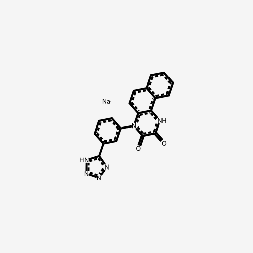 O=c1[nH]c2c3ccccc3ccc2n(-c2cccc(-c3nnn[nH]3)c2)c1=O.[Na]